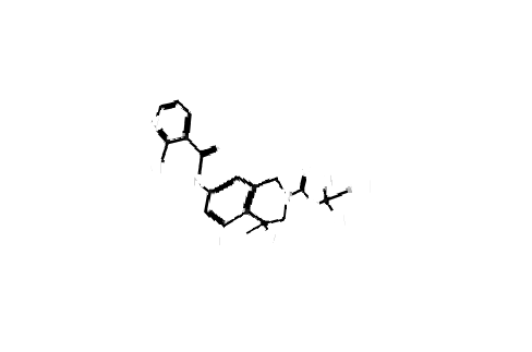 CC(C)(C)OC(=O)N1Cc2cc(NC(=O)c3cccnc3Cl)ccc2C(C)(C)C1